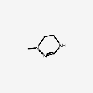 CN1CCNC=N1